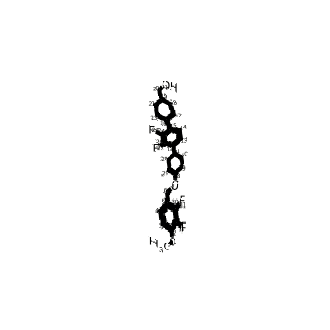 COc1ccc(COC2CCC(c3ccc(C4CCC(CO)CC4)c(F)c3F)CC2)c(F)c1F